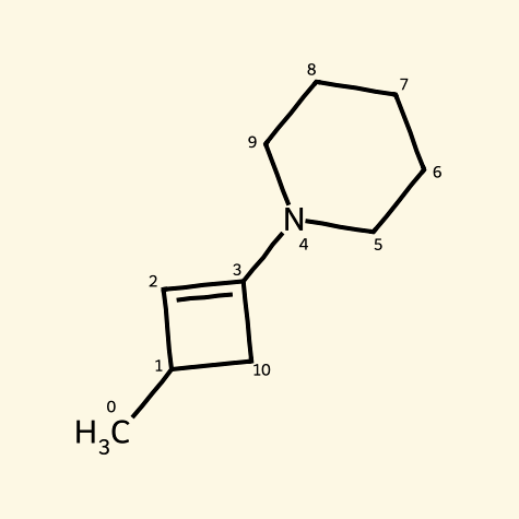 CC1C=C(N2CCCCC2)C1